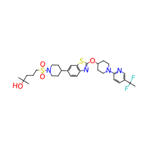 CC(C)(O)CCCS(=O)(=O)N1CCC(c2ccc3nc(OC4CCN(c5ccc(C(C)(F)F)cn5)CC4)sc3c2)CC1